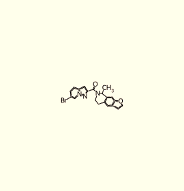 CC1c2cc3occc3cc2CCN1C(=O)c1cc2ccc(Br)cn2n1